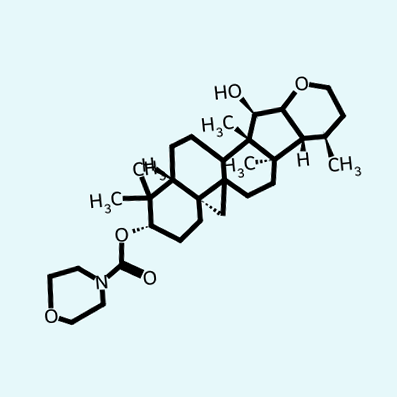 C[C@@H]1CCOC2[C@H]1[C@@]1(C)CCC34C[C@@]35CC[C@H](OC(=O)N3CCOCC3)C(C)(C)[C@@H]5CCC4[C@]1(C)[C@H]2O